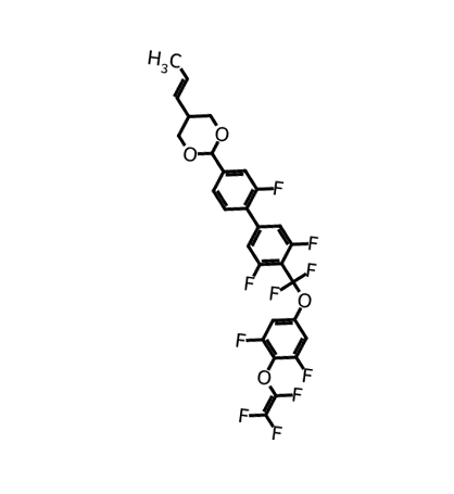 C/C=C/C1COC(c2ccc(-c3cc(F)c(C(F)(F)Oc4cc(F)c(OC(F)=C(F)F)c(F)c4)c(F)c3)c(F)c2)OC1